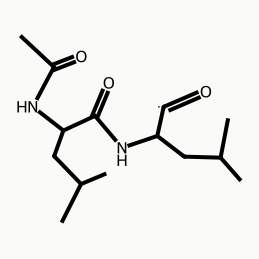 CC(=O)NC(CC(C)C)C(=O)NC([C]=O)CC(C)C